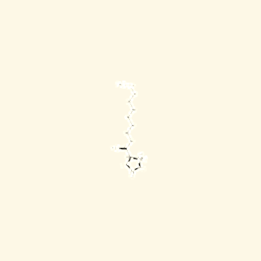 CCCCCCCCCCCCCCCC(=O)c1cnc[nH]1